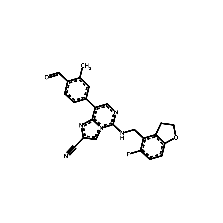 Cc1cc(-c2cnc(NCc3c(F)ccc4c3CCO4)n3cc(C#N)nc23)ccc1C=O